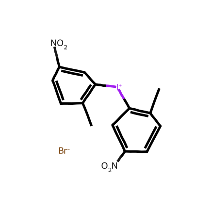 Cc1ccc([N+](=O)[O-])cc1[I+]c1cc([N+](=O)[O-])ccc1C.[Br-]